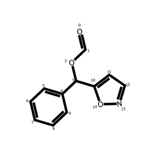 O=COC(c1ccccc1)c1ccno1